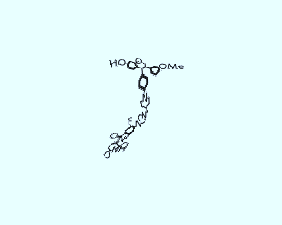 COc1cccc(C2COc3cc(O)ccc3C2c2ccc(N3CCC(CN4CCN(c5cc6c(cc5F)C(=O)N([C@H]5CCC(=O)NC5=O)C6)CC4)CC3)cc2)c1